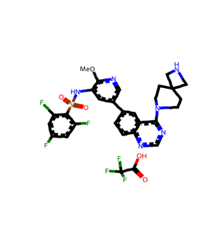 COc1ncc(-c2ccc3ncnc(N4CCC5(CC4)CNC5)c3c2)cc1NS(=O)(=O)c1c(F)cc(F)cc1F.O=C(O)C(F)(F)F